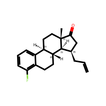 C=CC[C@@H]1CC(=O)[C@@]2(C)CC[C@@H]3c4cccc(F)c4CC[C@H]3[C@H]12